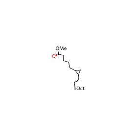 CCCCCCCCCCC1CC1CCCCC(=O)OC